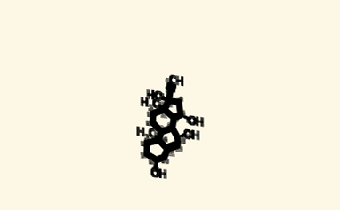 C#C[C@]1(O)C[C@H](O)C2C3C(CC[C@@]21C)[C@@]1(C)CC[C@H](O)CC1=C[C@H]3O